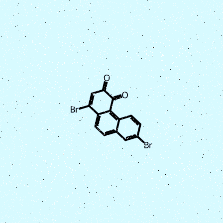 O=C1C=C(Br)c2ccc3cc(Br)ccc3c2C1=O